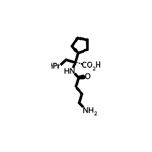 CC(C)C[C@@](NC(=O)CCCN)(C(=O)O)C1CCCC1